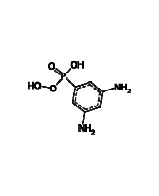 Nc1cc(N)cc(P(=O)(O)OO)c1